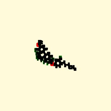 C=CCCc1ccc(OC(F)(F)c2ccc3c(c2F)C(F)(F)C(F)(F)c2c-3ccc(OCC)c2F)cc1F